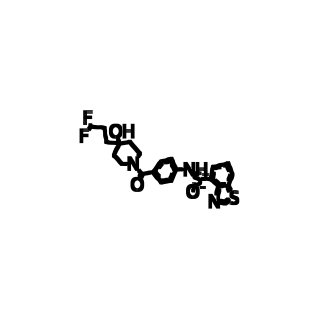 O=C(c1ccc(N[S+]([O-])c2cccc3scnc23)cc1)N1CCC(O)(CCC(F)F)CC1